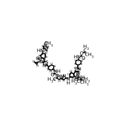 CC(C)OC(=O)NC1CCC(c2ncc(-c3ccc(Nc4cc(CC(C)OC(=O)NC5CCC(c6ncc(-c7ccc(Nc8cn(C)nn8)cc7S(=O)(=O)C7CC7)s6)CC5)[nH]n4)cc3S(=O)(=O)NC(C)(C)C)s2)CC1